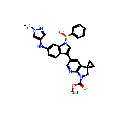 Cn1cc(Nc2ccc3c(-c4cnc5c(c4)C4(CC4)CN5C(=O)OC(C)(C)C)cn([S+]([O-])c4ccccc4)c3c2)cn1